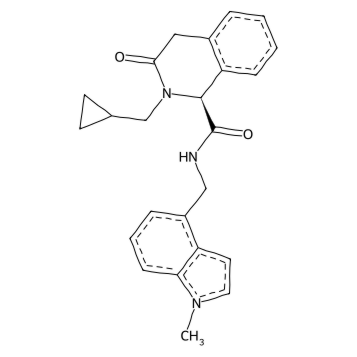 Cn1ccc2c(CNC(=O)[C@@H]3c4ccccc4CC(=O)N3CC3CC3)cccc21